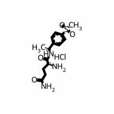 C[C@@H](NC(=O)[C@@H](N)CCC(N)=O)c1ccc(S(C)(=O)=O)cc1.Cl